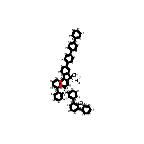 CC1(C)c2cc(-c3ccc(-c4ccc(-c5ccccc5)cc4)cc3)ccc2-c2ccc(N(c3cccc(-c4cccc5c4oc4ccccc45)c3)c3ccccc3-c3ccccc3)cc21